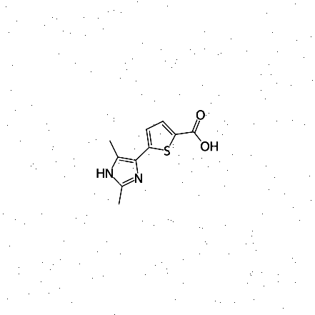 Cc1nc(-c2ccc(C(=O)O)s2)c(C)[nH]1